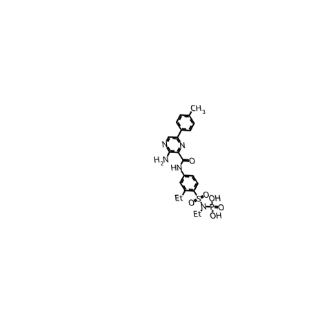 CCc1cc(NC(=O)c2nc(-c3ccc(C)cc3)cnc2N)ccc1S(=O)(=O)N(CC)P(=O)(O)O